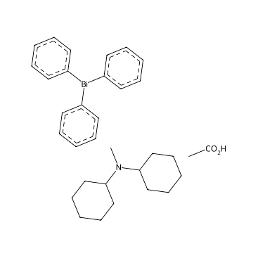 CC(=O)O.CN(C1CCCCC1)C1CCCCC1.c1cc[c]([Bi]([c]2ccccc2)[c]2ccccc2)cc1